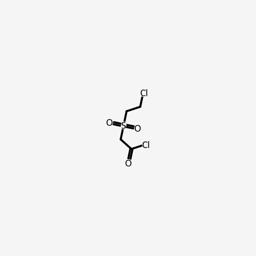 O=C(Cl)CS(=O)(=O)CCCl